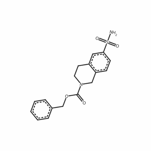 NS(=O)(=O)c1ccc2c(c1)CCN(C(=O)OCc1ccccc1)C2